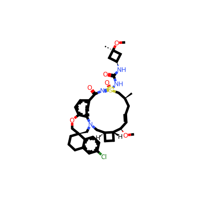 CO[C@H]1/C=C/C[C@H](C)CS(=O)(NC(=O)N[C@H]2C[C@](C)(OC)C2)=NC(=O)c2ccc3c(c2)N(C[C@@H]2CC[C@H]21)C[C@@]1(CCCc2cc(Cl)ccc21)CO3